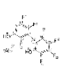 Oc1cc(F)c(F)c(F)c1F.Oc1cc(F)c(F)c(F)c1F.[CH3][Al]